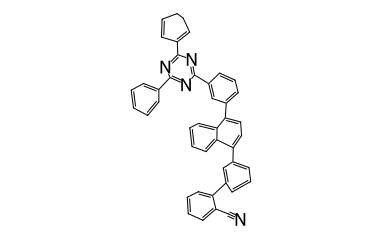 N#Cc1ccccc1-c1cccc(-c2ccc(-c3cccc(-c4nc(C5=CCCC=C5)nc(-c5ccccc5)n4)c3)c3ccccc23)c1